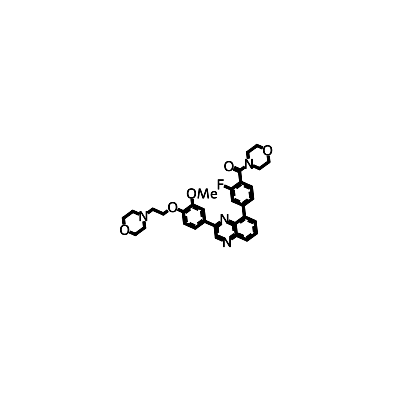 COc1cc(-c2cnc3cccc(-c4ccc(C(=O)N5CCOCC5)c(F)c4)c3n2)ccc1OCCN1CCOCC1